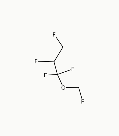 FCOC(F)(F)C(F)CF